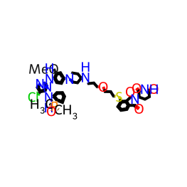 COc1cc(N2CCC(NCCCOCCCSc3cccc4c3C(=O)N(C3CCC(=O)NC3=O)C4=O)CC2)ccc1Nc1ncc(Cl)c(Nc2ccccc2P(C)(C)=O)n1